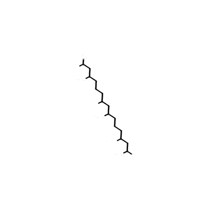 CCCC(O)CC(O)CCCC(O)CC(O)CCCC(O)CC(O)CC